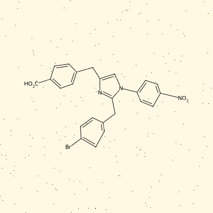 O=C(O)c1ccc(Cc2cn(-c3ccc([N+](=O)[O-])cc3)c(Cc3ccc(Br)cc3)n2)cc1